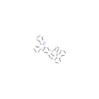 c1ccc2c(c1)-c1ccccc1C21c2ccccc2-n2c3cc4c(cc3c3cccc1c32)c1ccccc1n1c2ccccc2nc41